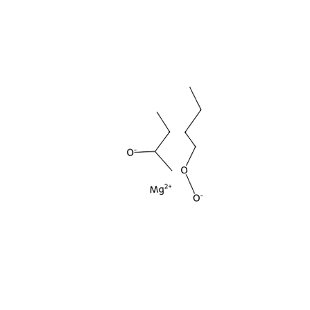 CCC(C)[O-].CCCCO[O-].[Mg+2]